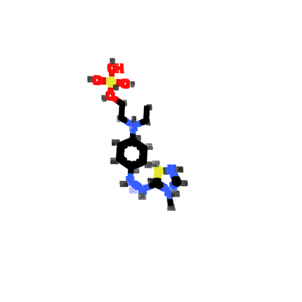 CCN(CCOS(=O)(=O)O)c1ccc(/N=N\c2snc[n+]2C)cc1